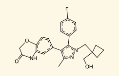 Cc1nn(CC2(CO)CCC2)c(-c2ccc(F)cc2)c1-c1ccc2c(c1)NC(=O)CO2